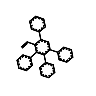 C=Cc1c(-c2ccccc2)cc(-c2ccccc2)c(-c2ccccc2)c1-c1ccccc1